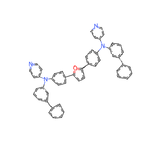 c1ccc(-c2cccc(N(c3ccncc3)c3ccc(-c4ccc(-c5ccc(N(c6ccncc6)c6cccc(-c7ccccc7)c6)cc5)o4)cc3)c2)cc1